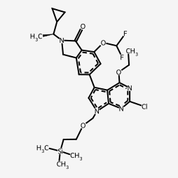 CCOc1nc(Cl)nc2c1c(-c1cc3c(c(OC(F)F)c1)C(=O)N([C@@H](C)C1CC1)C3)cn2COCC[Si](C)(C)C